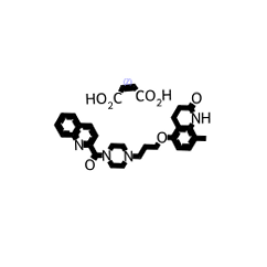 Cc1ccc(OCCCN2CCN(C(=O)c3ccc4ccccc4n3)CC2)c2c1NC(=O)CC2.O=C(O)/C=C\C(=O)O